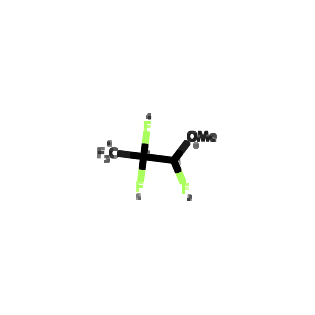 COC(F)C(F)(F)C(F)(F)F